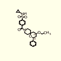 CCO[C@H]1C[C@@H](c2ccccc2)OC2(CCN(C(=O)c3ccc(S(=O)(=O)NC4CC4)cc3)CC2)C1